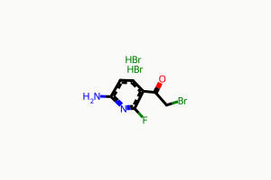 Br.Br.Nc1ccc(C(=O)CBr)c(F)n1